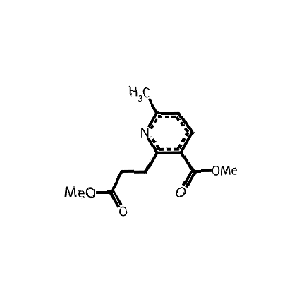 COC(=O)CCc1nc(C)ccc1C(=O)OC